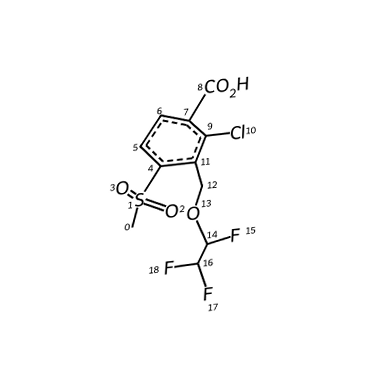 CS(=O)(=O)c1ccc(C(=O)O)c(Cl)c1COC(F)C(F)F